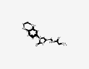 C=CC(=O)NC[C@@H]1CN(c2ccc3c(c2)OCCO3)C(=O)O1